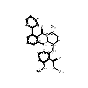 COC(=O)c1c(OC)ccnc1N[C@@H]1CC[C@@H](C)N(C(=O)c2c(F)cccc2-c2ncccn2)C1